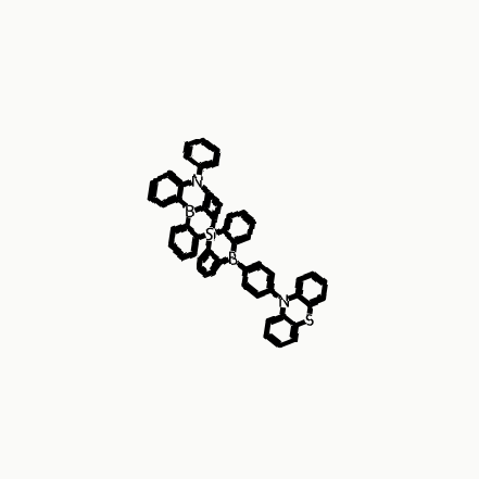 c1ccc(N2c3ccccc3B3c4ccccc4[Si]4(c5ccccc5B(c5ccc(N6c7ccccc7Sc7ccccc76)cc5)c5ccccc54)c4cccc2c43)cc1